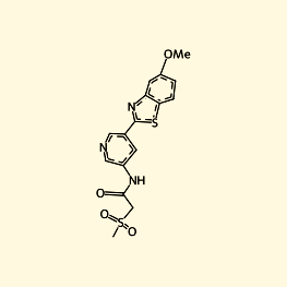 COc1ccc2sc(-c3cncc(NC(=O)CS(C)(=O)=O)c3)nc2c1